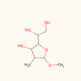 COC1OC(C(O)CO)C(O)C1C